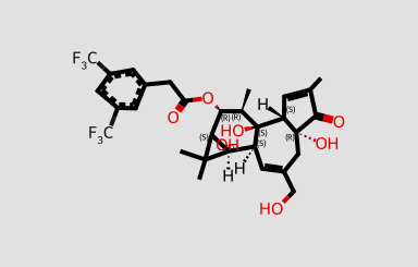 CC1=C[C@H]2[C@@]3(O)[C@H](C)[C@@H](OC(=O)Cc4cc(C(F)(F)F)cc(C(F)(F)F)c4)[C@]4(O)[C@@H]([C@@H]3C=C(CO)C[C@]2(O)C1=O)C4(C)C